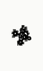 O=C(CN1c2nc(-c3ccncc3)cc(=O)n2CCC1C(F)(F)F)c1ccccc1